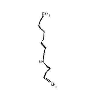 C=CCN[CH]CCCC